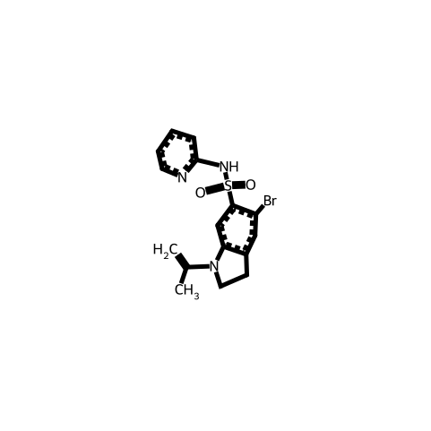 C=C(C)N1CCc2cc(Br)c(S(=O)(=O)Nc3ccccn3)cc21